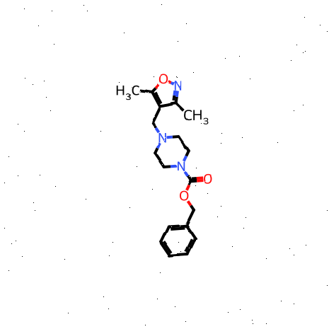 Cc1noc(C)c1CN1CCN(C(=O)OCc2ccccc2)CC1